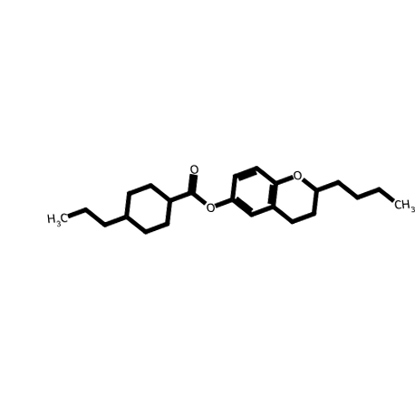 CCCCC1CCc2cc(OC(=O)C3CCC(CCC)CC3)ccc2O1